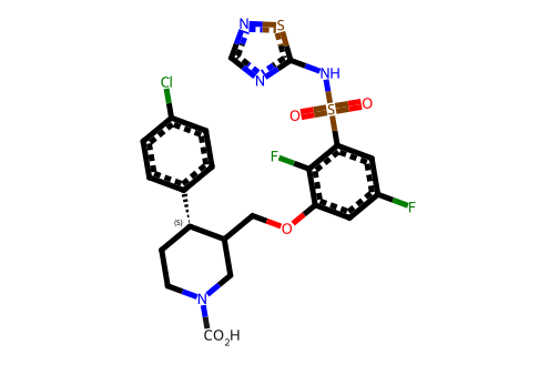 O=C(O)N1CC[C@H](c2ccc(Cl)cc2)C(COc2cc(F)cc(S(=O)(=O)Nc3ncns3)c2F)C1